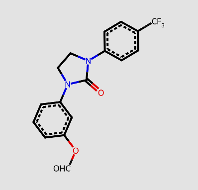 O=COc1cccc(N2CCN(c3ccc(C(F)(F)F)cc3)C2=O)c1